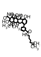 CN(C)CCCCNC(=O)c1cccc(-c2ccc(O)c3c2C[C@H]2C[C@H]4C(N(C)C)C(O)=C(C(N)=O)C(=O)[C@@]4(O)C(O)=C2C3=O)c1